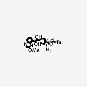 COc1cnc2cccc([C@@H](O)[C@H](O)[C@H]3CC[C@H](C(C)(C)O[SiH2]C(C)(C)C)CC3)c2n1